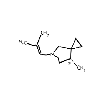 CC(C)=CN1C[C@@H](C)C2(CC2)C1